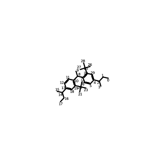 CCC(C)c1ccc(C(C)c2ccc(C(C)CC)cc2C(C)(C)C)c(C(C)(C)C)c1